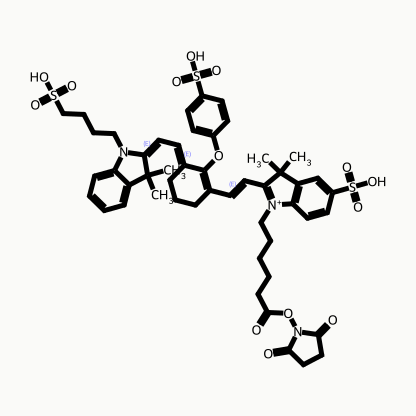 CC1(C)C(/C=C/C2=C(Oc3ccc(S(=O)(=O)O)cc3)C(=C/C=C3/N(CCCCS(=O)(=O)O)c4ccccc4C3(C)C)/CCC2)=[N+](CCCCCC(=O)ON2C(=O)CCC2=O)c2ccc(S(=O)(=O)O)cc21